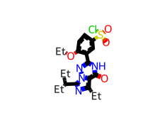 CCOc1ccc(S(=O)(=O)Cl)cc1-c1nn2c(C(CC)CC)nc(CC)c2c(=O)[nH]1